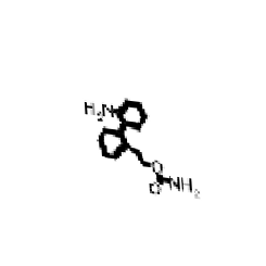 NC(=O)OCCc1ccccc1-c1ccccc1N